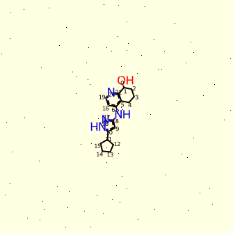 OC1CCCc2c(Nc3cc(C4CCCC4)[nH]n3)ccnc21